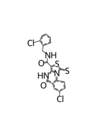 O=C(NCc1ccccc1Cl)c1sc(=S)n2c1[nH]c(=O)c1cc(Cl)ccc12